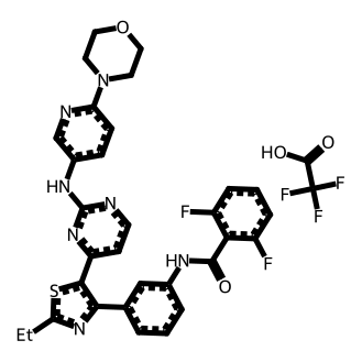 CCc1nc(-c2cccc(NC(=O)c3c(F)cccc3F)c2)c(-c2ccnc(Nc3ccc(N4CCOCC4)nc3)n2)s1.O=C(O)C(F)(F)F